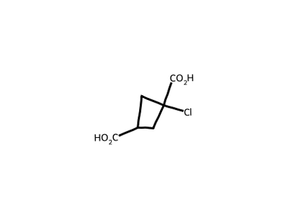 O=C(O)C1CC(Cl)(C(=O)O)C1